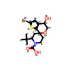 CC(C)(C)C1CC2(CCN1C(=O)O)OCC(O)c1cc(Br)sc12